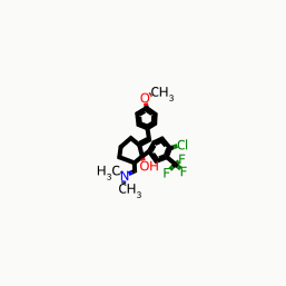 COc1ccc(C=C2CCCC(CN(C)C)C2(O)c2ccc(Cl)c(C(F)(F)F)c2)cc1